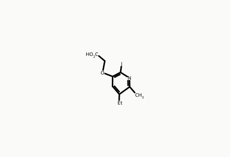 CCc1cc(OCC(=O)O)c(I)nc1C